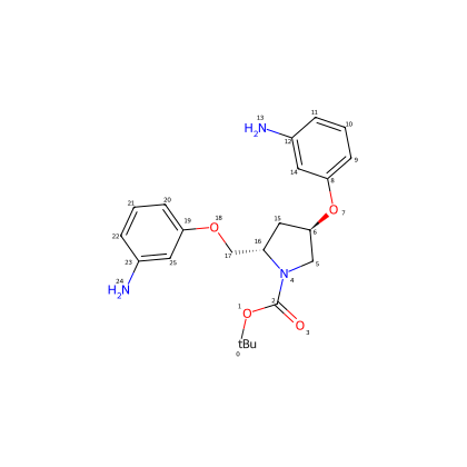 CC(C)(C)OC(=O)N1C[C@H](Oc2cccc(N)c2)C[C@H]1COc1cccc(N)c1